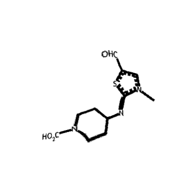 Cn1cc(C=O)s/c1=N\C1CCN(C(=O)O)CC1